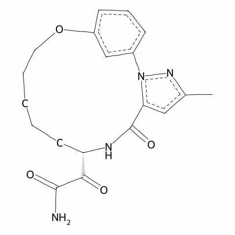 Cc1cc2n(n1)-c1cccc(c1)OCCCCC[C@@H](C(=O)C(N)=O)NC2=O